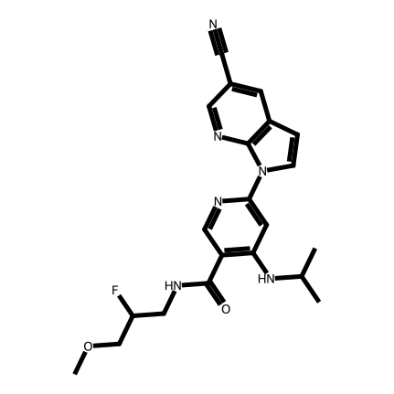 COCC(F)CNC(=O)c1cnc(-n2ccc3cc(C#N)cnc32)cc1NC(C)C